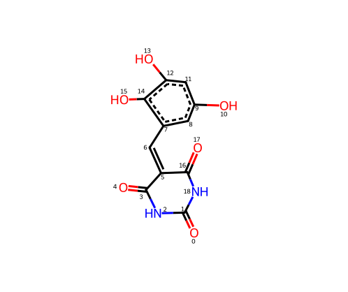 O=C1NC(=O)C(=Cc2cc(O)cc(O)c2O)C(=O)N1